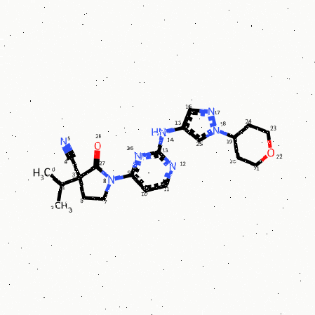 CC(C)C1(C#N)CCN(c2ccnc(Nc3cnn(C4CCOCC4)c3)n2)C1=O